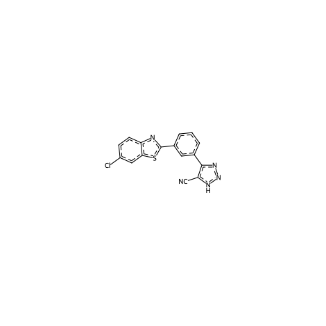 N#Cc1[nH]nnc1-c1cccc(-c2nc3ccc(Cl)cc3s2)c1